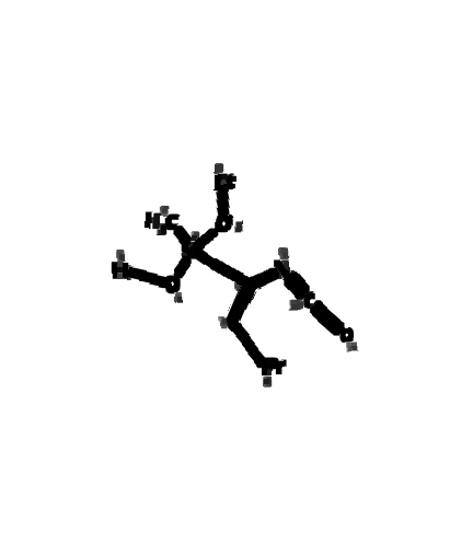 CCO[Si](C)(OCC)C(CC(C)C)N=C=O